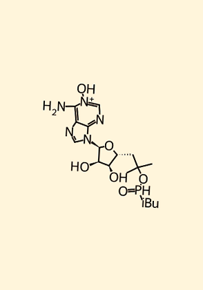 CCC(C)[PH](=O)OC(C)(C)C[C@H]1O[C@H](n2cnc3c(N)[n+](O)cnc32)[C@H](O)[C@@H]1O